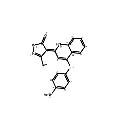 CCCC1=NNC(=O)/C1=C1/C=C(Sc2ccc(NC(C)=O)cc2)c2ccccc2N1